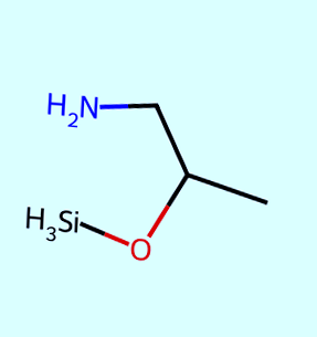 CC(CN)O[SiH3]